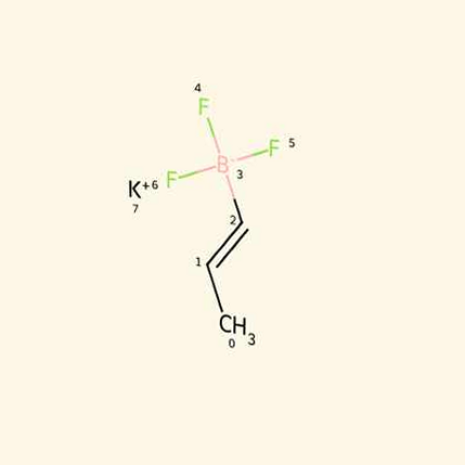 CC=C[B-](F)(F)F.[K+]